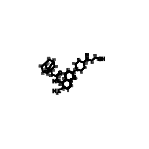 Cc1ccc2nc(N3CCC(NCCO)CC3)ccc2c1NC(=O)CC12CC3CC(CC(C3)C1)C2